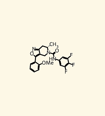 COc1ccccc1-c1onc2c1CN(C(=O)Nc1cc(F)c(F)c(F)c1)[C@@H](C)C2